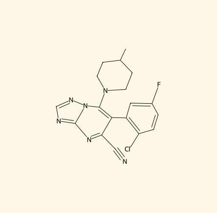 CC1CCN(c2c(-c3cc(F)ccc3Cl)c(C#N)nc3ncnn23)CC1